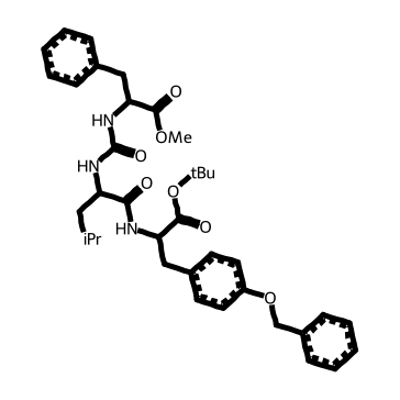 COC(=O)C(Cc1ccccc1)NC(=O)NC(CC(C)C)C(=O)NC(Cc1ccc(OCc2ccccc2)cc1)C(=O)OC(C)(C)C